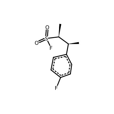 C[C@@H](c1ccc(F)cc1)[C@H](C)S(=O)(=O)F